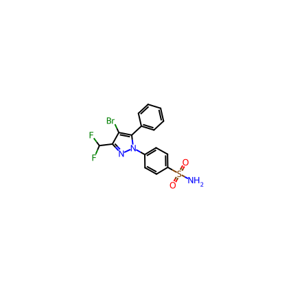 NS(=O)(=O)c1ccc(-n2nc(C(F)F)c(Br)c2-c2ccccc2)cc1